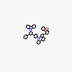 c1ccc(-c2cc(-c3ccc(N(c4ccc(-c5cccc6oc7ccccc7c56)cc4)c4ccccc4-c4ccccc4)cc3)cc(-n3c4ccccc4c4ccccc43)c2)cc1